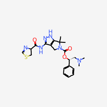 CN(C)C[C@@H](OC(=O)N1Cc2c(NC(=O)C3CSC=N3)n[nH]c2C1(C)C)c1ccccc1